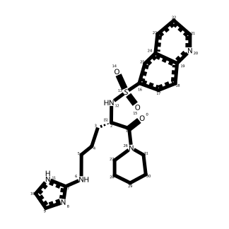 O=C([C@H](CCCNc1ncc[nH]1)NS(=O)(=O)c1ccc2ncccc2c1)N1CCCCC1